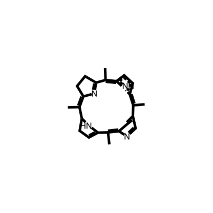 C/C1=C2\CCC(=N2)/C(C)=c2/cc/c([nH]2)=C(\C)C2=C/C(=C(/C)C3=CCC1N3)N=C2